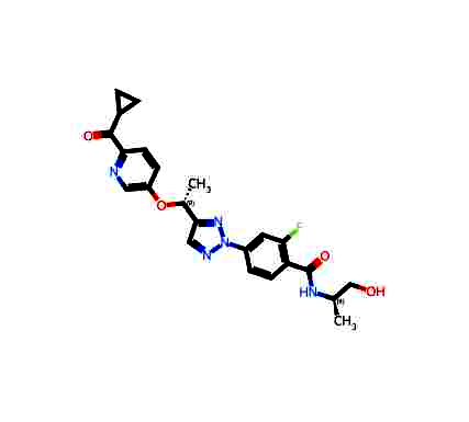 C[C@H](CO)NC(=O)c1ccc(-n2ncc([C@@H](C)Oc3ccc(C(=O)C4CC4)nc3)n2)cc1F